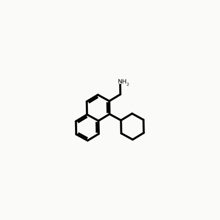 NCc1ccc2ccccc2c1C1CCCCC1